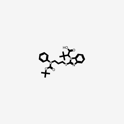 CC(C)(C)OC(=O)N(CCCSc1nc2ccccc2n1C(C(=O)O)C(C)(C)C)c1ccccc1